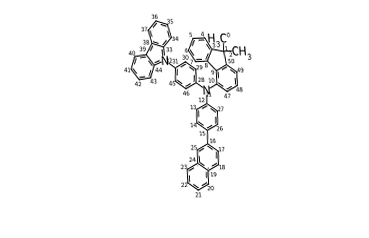 CC1(C)c2ccccc2-c2c(N(c3ccc(-c4ccc5ccccc5c4)cc3)c3ccc(-n4c5ccccc5c5ccccc54)cc3)cccc21